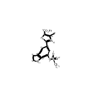 CCOC(=O)c1sc(-c2cc(OS(=O)(=O)C(F)(F)F)c3sccc3c2)nc1C